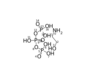 NCCO.O=P(O)(O)OP(=O)(O)OP(=O)(O)O